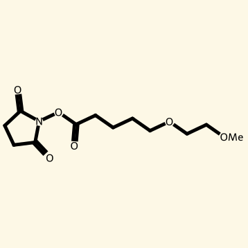 COCCOCCCCC(=O)ON1C(=O)CCC1=O